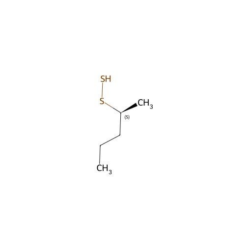 CCC[C@H](C)SS